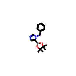 CC1(C)OB(c2cncn2Cc2ccccc2)OC1(C)C